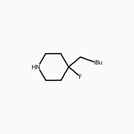 CCC(C)CC1(F)CCNCC1